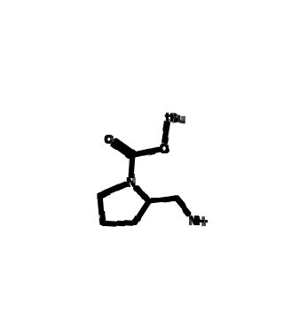 CC(C)(C)OC(=O)N1CCCC1C[NH]